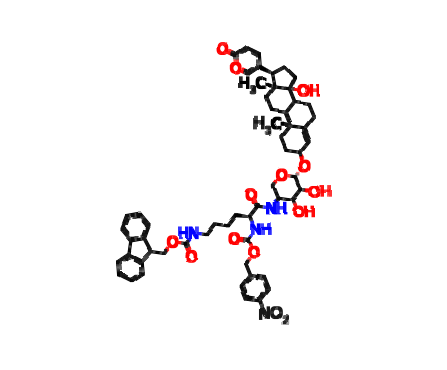 C[C@]12CC[C@H](O[C@H]3OC[C@H](NC(=O)[C@H](CCCCNC(=O)OCC4c5ccccc5-c5ccccc54)NC(=O)OCc4ccc([N+](=O)[O-])cc4)C(O)[C@@H]3O)C=C1CCC1C2CC[C@]2(C)[C@@H](c3ccc(=O)oc3)CC[C@]12O